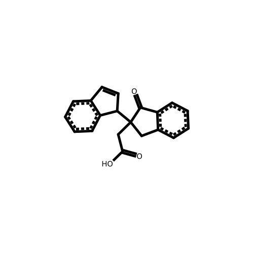 O=C(O)CC1(C2C=Cc3ccccc32)Cc2ccccc2C1=O